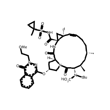 COCCn1nc(O[C@@H]2C[C@H]3C(=O)N[C@]4(C(=O)NS(=O)(=O)C5(C)CC5)C[C@H]4C=CCC[C@H](C)C[C@@H](C)[C@H](N(C(=O)O)C(C)(C)C)C(=O)N3C2)c2ccccc2c1=O